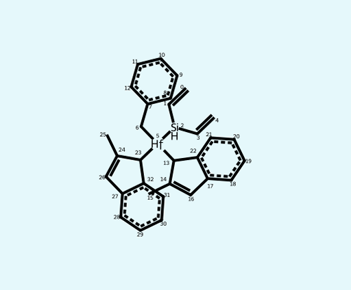 C=C[SiH](C=C)[Hf]([CH2]c1cc[c]cc1)([CH]1C(C)=Cc2ccccc21)[CH]1C(C)=Cc2ccccc21